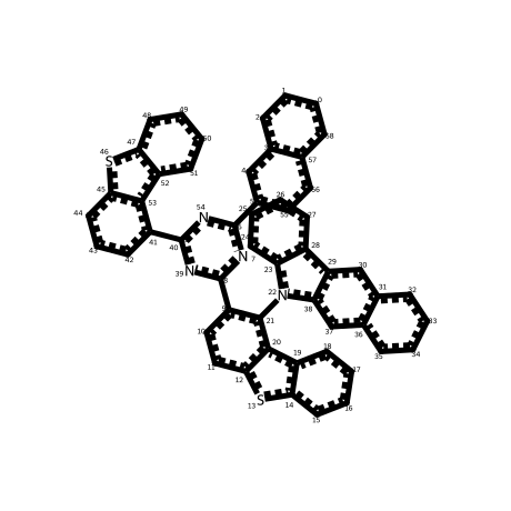 c1ccc2cc(-c3nc(-c4ccc5sc6ccccc6c5c4-n4c5ccccc5c5cc6ccccc6cc54)nc(-c4cccc5sc6ccccc6c45)n3)ccc2c1